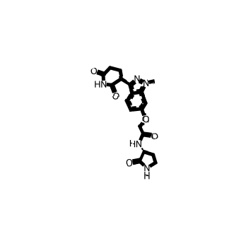 Cn1nc(C2CCC(=O)NC2=O)c2ccc(OCC(=O)N[C@@H]3CCNC3=O)cc21